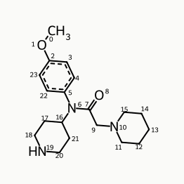 COc1ccc(N(C(=O)CN2CCCCC2)C2CCNCC2)cc1